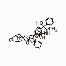 C[C@@H](NC(=O)N[C@H]1CC[C@H](CCN2C3CC(OC(=O)C(CO)c4ccccc4)CC2C2OC23)CC1)C(O)(c1ccccc1)c1ccccc1